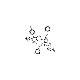 COC(=O)OC1(CSCc2ccccc2)N=CN(CCc2ccccc2)C1C1CCC(C(c2ccc(Cl)cc2)N(C)C)CC1